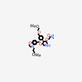 COCCCN1CCOc2ccc(CO[C@H]3CNC[C@@H](OCC(=O)N(C)C)[C@@H]3c3ccc(COCCOC)cc3)cc21